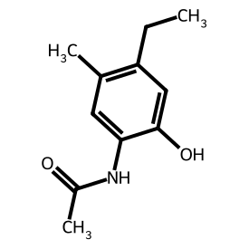 CCc1cc(O)c(NC(C)=O)cc1C